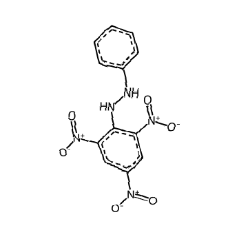 O=[N+]([O-])c1cc([N+](=O)[O-])c(NNc2ccccc2)c([N+](=O)[O-])c1